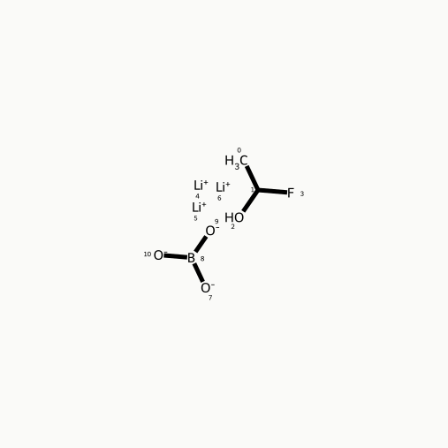 CC(O)F.[Li+].[Li+].[Li+].[O-]B([O-])[O-]